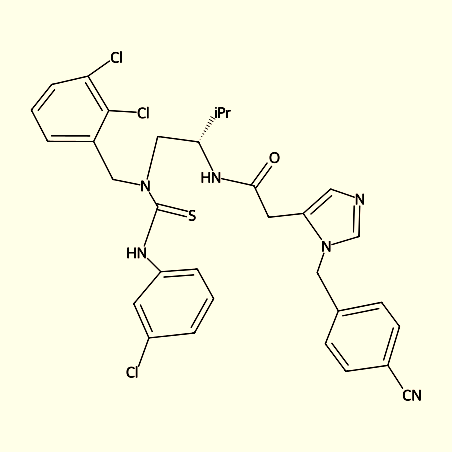 CC(C)[C@@H](CN(Cc1cccc(Cl)c1Cl)C(=S)Nc1cccc(Cl)c1)NC(=O)Cc1cncn1Cc1ccc(C#N)cc1